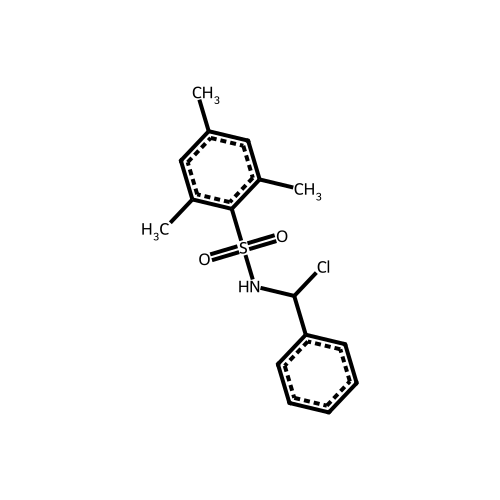 Cc1cc(C)c(S(=O)(=O)NC(Cl)c2ccccc2)c(C)c1